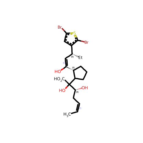 C/C=C\C[C@@H](O)C(O)(C(=O)O)C1CCC[C@H]1/C(O)=C\[C@@H](CC)c1cc(Br)sc1Br